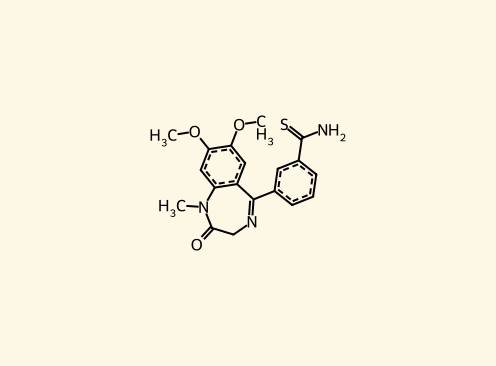 COc1cc2c(cc1OC)N(C)C(=O)CN=C2c1cccc(C(N)=S)c1